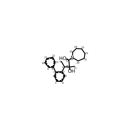 CC(c1ccccc1-c1ccccc1)C(C)(O)C(O)N1CCCCCC1